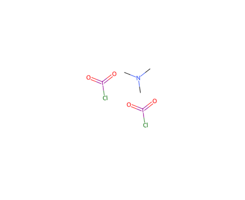 CN(C)C.O=I(=O)Cl.O=I(=O)Cl